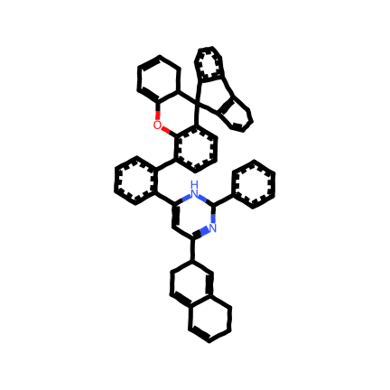 C1=CCC2C(=C1)Oc1c(-c3ccccc3C3=CC(C4C=C5CCC=CC5=CC4)=NC(c4ccccc4)N3)cccc1C21C2=C(CCC=C2)c2ccccc21